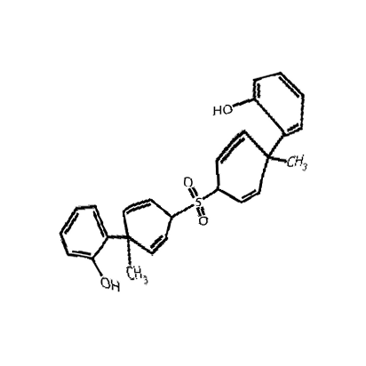 CC1(c2ccccc2O)C=CC(S(=O)(=O)C2C=CC(C)(c3ccccc3O)C=C2)C=C1